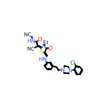 CCn1c(=C(C#N)C(=O)NCC#N)sc(=CNc2cccc(CCN3CCN(c4ccccc4Cl)CC3)c2)c1=O